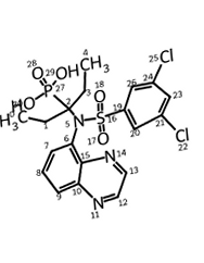 CCC(CC)(N(c1cccc2nccnc12)S(=O)(=O)c1cc(Cl)cc(Cl)c1)P(=O)(O)O